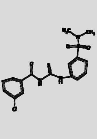 CN(C)S(=O)(=O)c1cccc(NC(=S)NC(=O)c2cccc(Cl)c2)c1